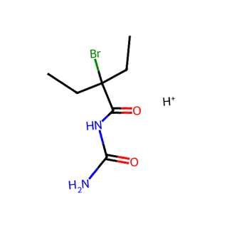 CCC(Br)(CC)C(=O)NC(N)=O.[H+]